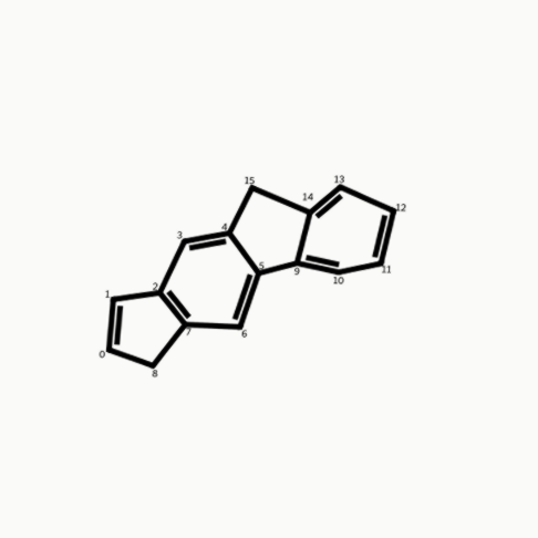 C1=Cc2cc3c(cc2C1)-c1ccccc1C3